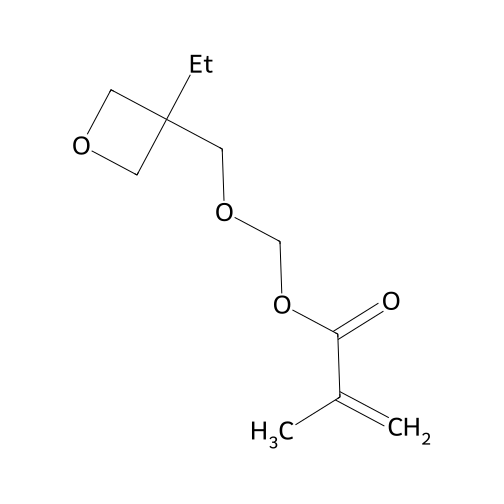 C=C(C)C(=O)OCOCC1(CC)COC1